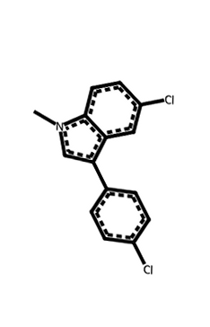 Cn1cc(-c2ccc(Cl)cc2)c2cc(Cl)ccc21